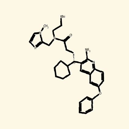 Cn1ccnc1CN(CCC(C)(C)C)C(=O)CC[C@H](c1cc2cc(Oc3ccccc3)ccc2nc1N)C1CCCCC1